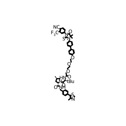 Cc1ncsc1-c1ccc(CNC(=O)[C@@H]2C[C@@H](C)CN2C(=O)[C@@H](NC(=O)COCCOCCOc2ccc(-c3ccc(N4C(=S)N(c5ccc(C#N)c(C(F)(F)F)c5)C(=O)C4(C)C)cc3)cc2)C(C)(C)C)cc1